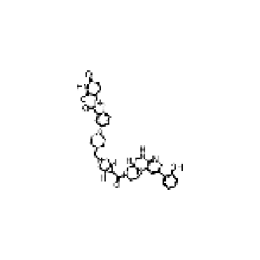 O=C1CCC(N2Cc3ccc(N4CCC(CN5C[C@@H]6C(C(=O)N7CCN8c9cc(-c%10ccccc%10O)nnc9NC[C@H]8C7)[C@@H]6C5)CC4)cc3C2=O)C(=O)N1